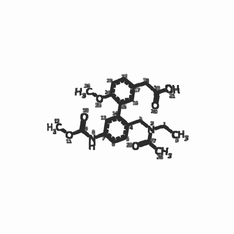 CCN(Cc1ccc(NC(=O)OC)cc1-c1cc(CC(=O)O)ccc1OC)C(C)=O